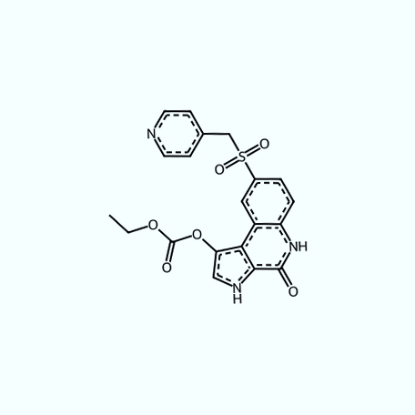 CCOC(=O)Oc1c[nH]c2c(=O)[nH]c3ccc(S(=O)(=O)Cc4ccncc4)cc3c12